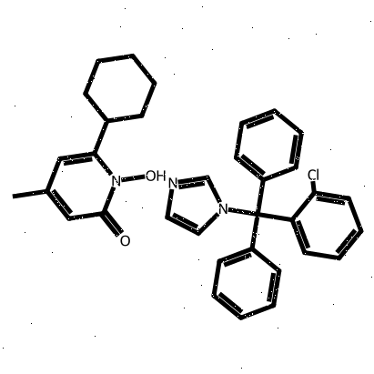 Cc1cc(C2CCCCC2)n(O)c(=O)c1.Clc1ccccc1C(c1ccccc1)(c1ccccc1)n1ccnc1